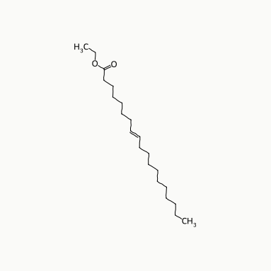 CCCCCCCCCCC=CCCCCCCC(=O)OCC